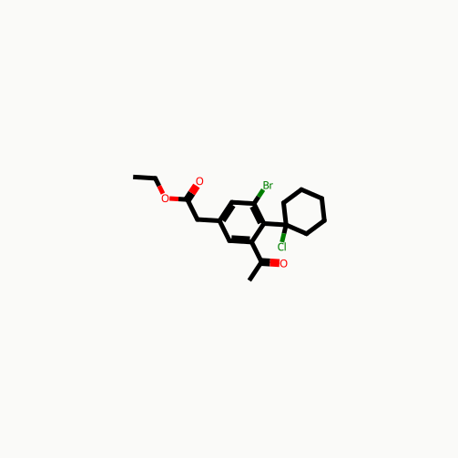 CCOC(=O)Cc1cc(Br)c(C2(Cl)CCCCC2)c(C(C)=O)c1